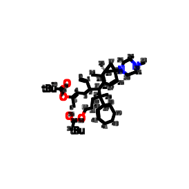 C=CC(C/C=C(\C)OC(=O)C(C)(C)C)C(C1=C(C)[C@@]2(C)CC2(N2CCN(C)CC2)C=C1)C(C)(CCCOC(=O)C(C)(C)C)C1=CCCCC=C1